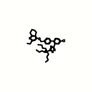 CCC[CH2][Sn]([CH2]CCC)([CH2]CCC)[n]1nnc(-c2cc(Cl)ccc2-c2ccc(COc3cc(CC)nc4c3CCCC4)cc2)n1